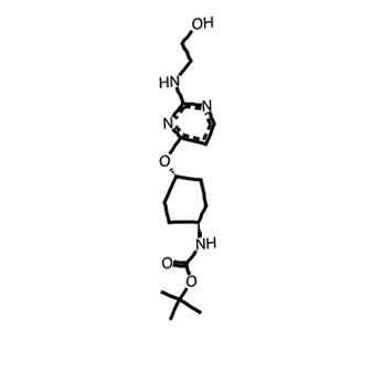 CC(C)(C)OC(=O)N[C@H]1CC[C@H](Oc2ccnc(NCCO)n2)CC1